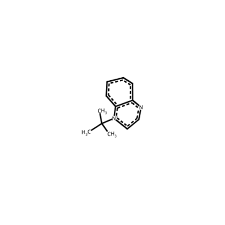 CC(C)(C)[n+]1ccnc2ccccc21